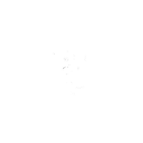 CCOC(=O)C(F)CC(F)(F)[C@](C)(N[S+]([O-])C(C)(C)C)c1ccccc1F